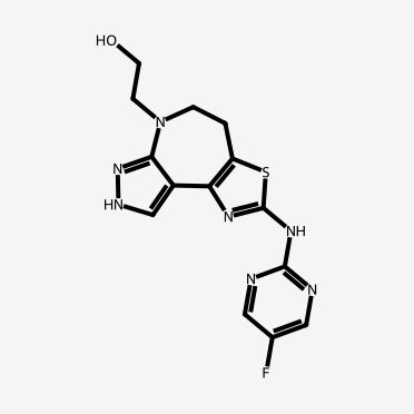 OCCN1CCc2sc(Nc3ncc(F)cn3)nc2-c2c[nH]nc21